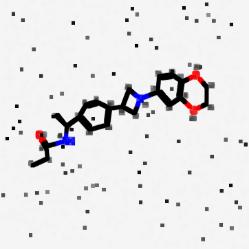 CCC(=O)N[C@@H](C)c1ccc(C2CN(c3ccc4c(c3)OCCO4)C2)cc1